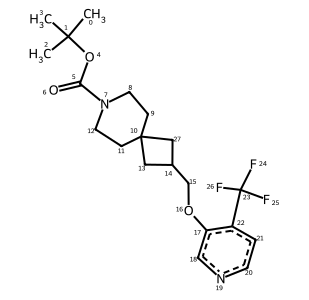 CC(C)(C)OC(=O)N1CCC2(CC1)CC(COc1cnccc1C(F)(F)F)C2